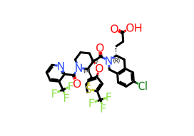 CCC[C@H]1N(C(=O)c2ncccc2C(F)(F)F)CCC[C@]1(Oc1csc(C(F)(F)F)c1)C(=O)N1Cc2ccc(Cl)cc2C[C@H]1CCC(=O)O